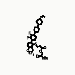 CCCCC(CC)COC(=O)CCSc1c(-c2ccc(C3=CCC(C4CCC(CCC)CC4)CC3)c(F)c2F)ccc(OC(F)(F)F)c1F